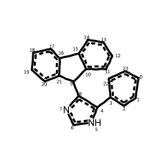 c1ccc(-c2[nH]cnc2C2c3ccccc3-c3ccccc32)cc1